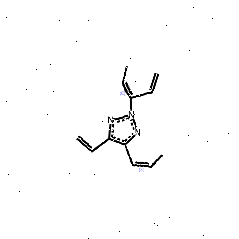 C=C/C(=C\C)n1nc(C=C)c(/C=C\C)n1